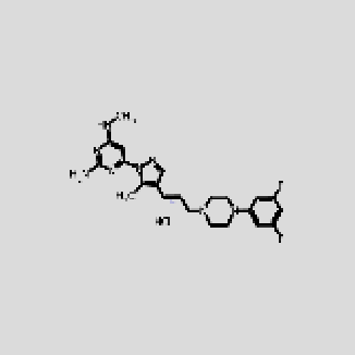 CNc1cc(-n2ncc(/C=C/CN3CCN(c4cc(F)cc(F)c4)CC3)c2C)nc(N)n1.Cl